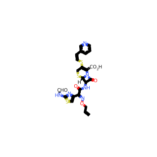 C=CCON=C(C(=O)NC1C(=O)N2C(C(=O)O)=C(S/C=C\c3cccnc3)CS[C@@H]12)c1csc(NC=O)n1